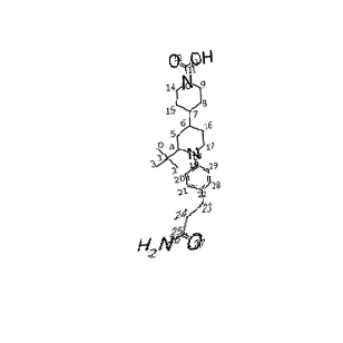 CC(C)(C)C1CC(C2CCN(C(=O)O)CC2)CCN1c1ccc(CCC(N)=O)cc1